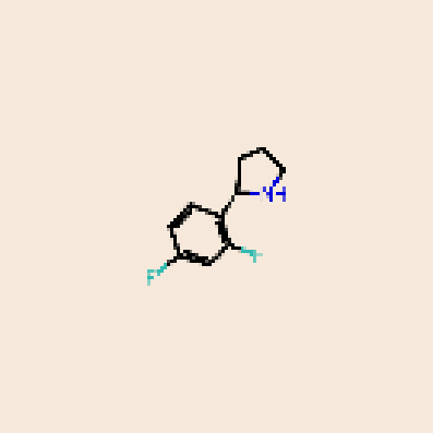 Fc1ccc([C@H]2CCCN2)c(F)c1